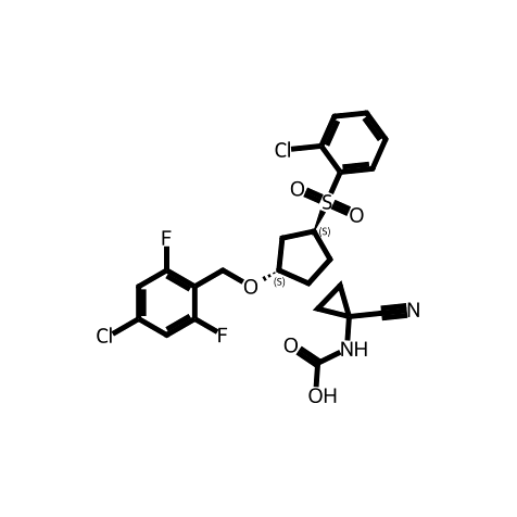 N#CC1(NC(=O)O)CC1.O=S(=O)(c1ccccc1Cl)[C@H]1CC[C@H](OCc2c(F)cc(Cl)cc2F)C1